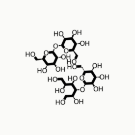 OC[C@@H](O)[C@@H](O[C@@H]1O[C@H](CO)[C@H](O)[C@H](O)[C@H]1O)[C@H](O)[C@@H](O)CO.OC[C@H]1O[C@H](O[C@H]2O[C@H](CO)[C@@H](O)[C@H](O)[C@H]2O)[C@H](O)[C@@H](O)[C@@H]1O